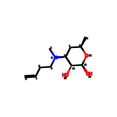 C=CCCN(C)[C@H]1C[C@@H](C)O[C@@H](O)[C@@H]1O